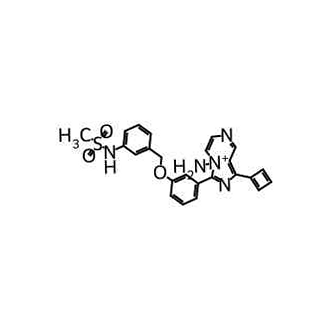 CS(=O)(=O)Nc1cccc(COc2cccc(C3=NC(C4=CC=C4)=C4C=NC=C[N+]34N)c2)c1